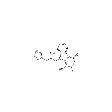 Cc1cc(=O)n2c3ccccc3n(CC(O)Cn3ccnc3)c2c1C#N